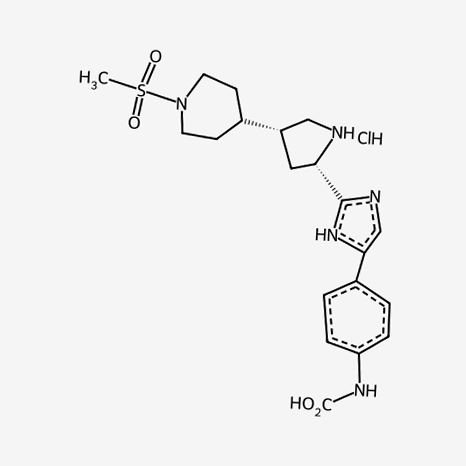 CS(=O)(=O)N1CCC([C@@H]2CN[C@H](c3ncc(-c4ccc(NC(=O)O)cc4)[nH]3)C2)CC1.Cl